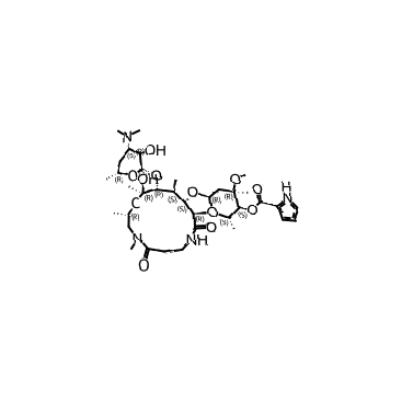 CO[C@]1(C)C[C@H](O[C@H]2[C@H](C)[C@@H](O[C@@H]3O[C@H](C)C[C@H](N(C)C)[C@H]3O)[C@](C)(O)C[C@@H](C)CN(C)C(=O)CCNC(=O)[C@@H]2C)O[C@@H](C)[C@@H]1OC(=O)c1ccc[nH]1